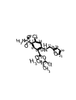 CCC(OC(=O)c1cc(S(N)(=O)=O)c(Cl)cc1NCc1ccco1)N(C)C